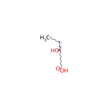 CCCCC/C=C\C=C\[C@H](O)CCCCCCCC(=O)O